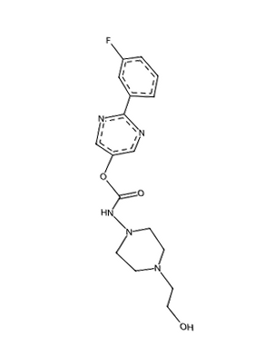 O=C(NN1CCN(CCO)CC1)Oc1cnc(-c2cccc(F)c2)nc1